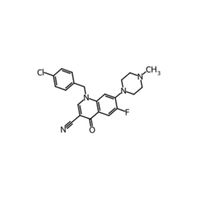 CN1CCN(c2cc3c(cc2F)c(=O)c(C#N)cn3Cc2ccc(Cl)cc2)CC1